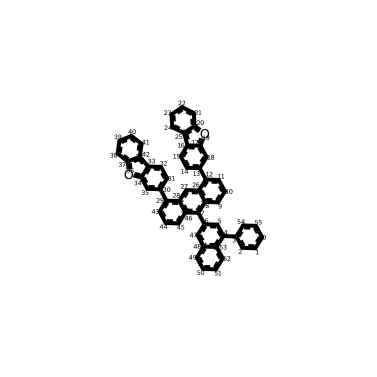 c1ccc(-c2cc(-c3c4cccc(-c5ccc6c(c5)oc5ccccc56)c4cc4c(-c5ccc6c(c5)oc5ccccc56)cccc34)cc3ccccc23)cc1